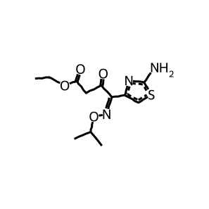 CCOC(=O)CC(=O)C(=NOC(C)C)c1csc(N)n1